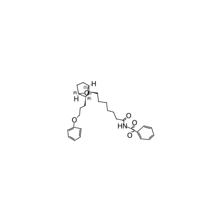 O=C(CCCCCC[C@H]1[C@@H](CCCOc2ccccc2)[C@H]2CC[C@@H]1O2)NS(=O)(=O)c1ccccc1